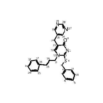 O=c1nc(SCc2ccccc2)n(CCCc2ccccc2)cc1Cc1cncnc1